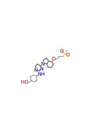 CS(=O)(=O)CCCOc1cccc2c1ccn2-c1ccnc(NC2CCC(CO)CC2)n1